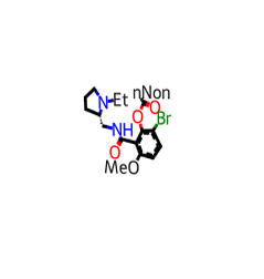 CCCCCCCCCC(=O)Oc1c(Br)ccc(OC)c1C(=O)NC[C@@H]1CCCN1CC